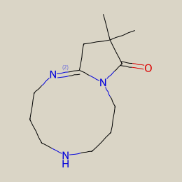 CC1(C)C/C2=N/CCCNCCCN2C1=O